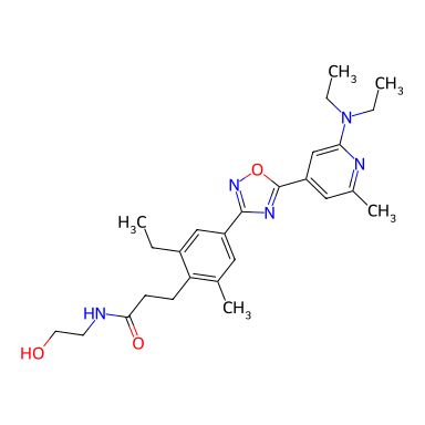 CCc1cc(-c2noc(-c3cc(C)nc(N(CC)CC)c3)n2)cc(C)c1CCC(=O)NCCO